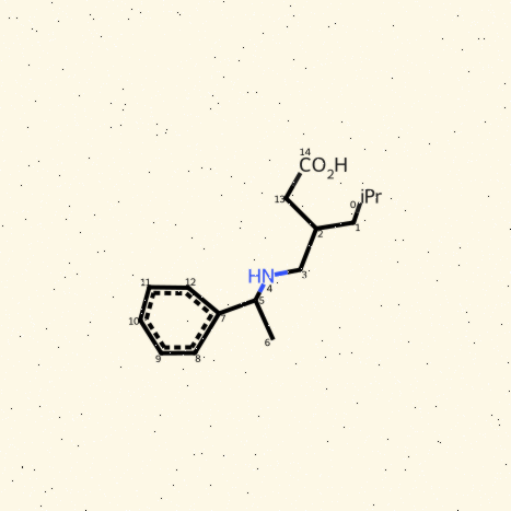 CC(C)CC(CNC(C)c1ccccc1)CC(=O)O